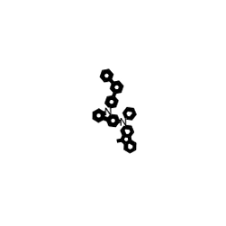 CC1C2=CCCC=C2C2CC=C(N(c3ccc4c5ccccc5n(-c5ccc(-c6cccc(-c7ccccc7)c6)cc5)c4c3)C3C=CC=CC3)C=C12